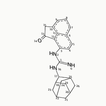 N=C(Nc1ccc2cccc3c2c1C(=O)C3)NC1C2CC3CC(C2)CC1C3